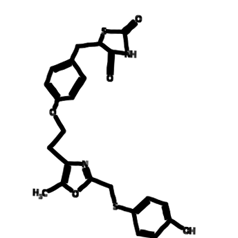 Cc1oc(CSc2ccc(O)cc2)nc1CCOc1ccc(CC2SC(=O)NC2=O)cc1